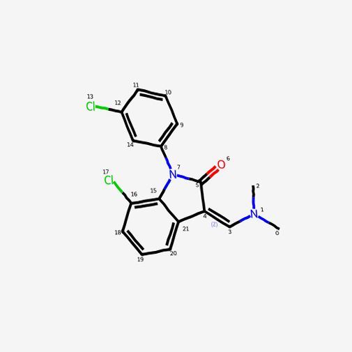 CN(C)/C=C1\C(=O)N(c2cccc(Cl)c2)c2c(Cl)cccc21